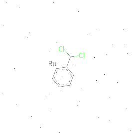 ClC(Cl)c1ccccc1.[Ru]